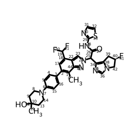 Cc1c(-c2ccc(N3CCC(C)(O)CC3)cc2)cc(C(F)F)c2cn(C(C(=O)Nc3nccs3)c3ncn4c3C[C@@H](F)C4)nc12